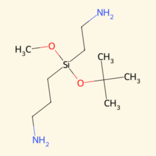 CO[Si](CCN)(CCCN)OC(C)(C)C